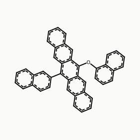 c1ccc2cc(-c3c4cc5ccccc5cc4c(Oc4cccc5ccccc45)c4cc5ccccc5cc34)ccc2c1